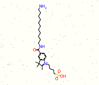 CC1=[N+](CCCCS(=O)(=O)O)c2ccc(C(=O)NCCCCCCCCCCCN)cc2C1(C)C